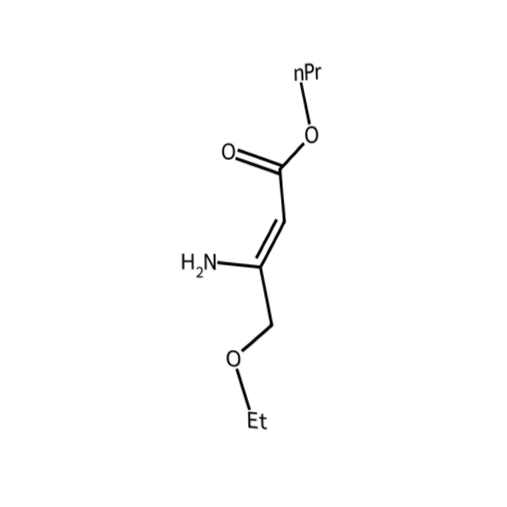 CCCOC(=O)C=C(N)COCC